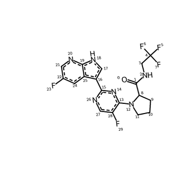 O=C(NCC(F)(F)F)C1CCCN1c1nc(-c2c[nH]c3ncc(F)cc23)ncc1F